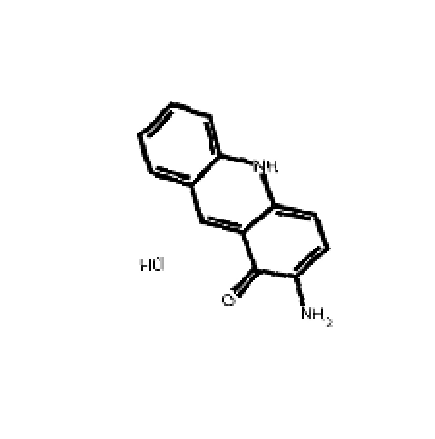 Cl.Nc1ccc2[nH]c3ccccc3cc-2c1=O